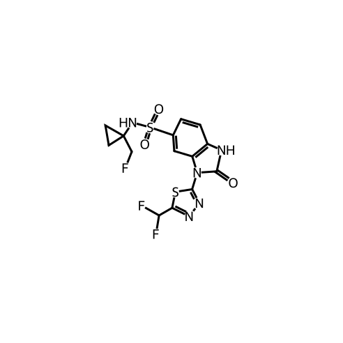 O=c1[nH]c2ccc(S(=O)(=O)NC3(CF)CC3)cc2n1-c1nnc(C(F)F)s1